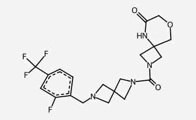 O=C1COCC2(CN(C(=O)N3CC4(CN(Cc5ccc(C(F)(F)F)cc5F)C4)C3)C2)N1